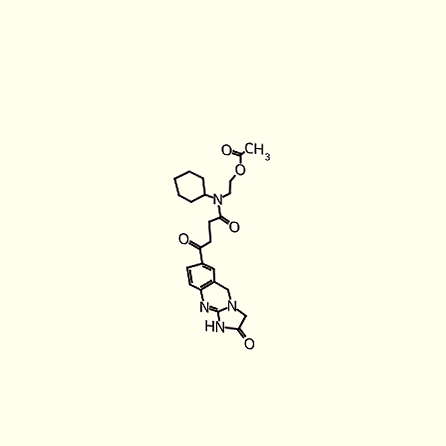 CC(=O)OCCN(C(=O)CCC(=O)c1ccc2c(c1)CN1CC(=O)NC1=N2)C1CCCCC1